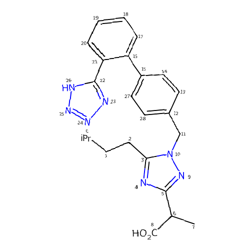 CC(C)CCc1nc(C(C)C(=O)O)nn1Cc1ccc(-c2ccccc2-c2nnn[nH]2)cc1